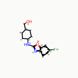 OCC1CCC(Nc2nc3ccc(F)cc3o2)CC1